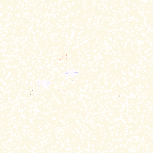 CONC(=O)[C@H](NC(=O)OCc1ccccc1)[C@H](C)O